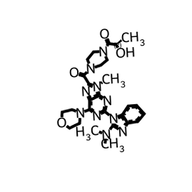 C[C@@H](O)C(=O)N1CCN(C(=O)c2nc3c(N4CCOCC4)nc(-n4c(N(C)C)nc5ccccc54)nc3n2C)CC1